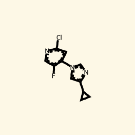 Fc1cnc(Cl)cc1-n1cnc(C2CC2)c1